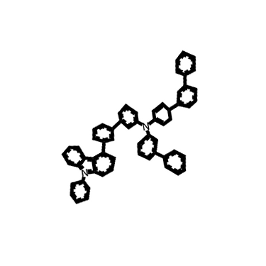 C1=CC(c2cccc(-c3ccccc3)c2)CC=C1N(c1cccc(-c2ccccc2)c1)c1cccc(-c2cccc(-c3cccc4c3c3ccccc3n4-c3ccccc3)c2)c1